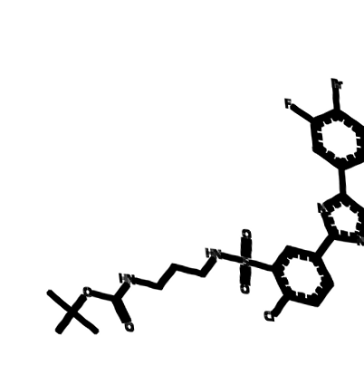 CC(C)(C)OC(=O)NCCCNS(=O)(=O)c1cc(-c2nc(-c3ccc(Br)c(F)c3)c[nH]2)ccc1Cl